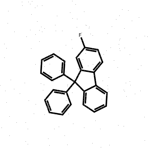 Fc1ccc2c(c1)C(c1ccccc1)(c1ccccc1)c1ccccc1-2